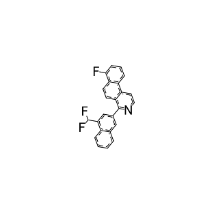 Fc1cccc2c1ccc1c(-c3cc(C(F)F)c4ccccc4c3)nccc12